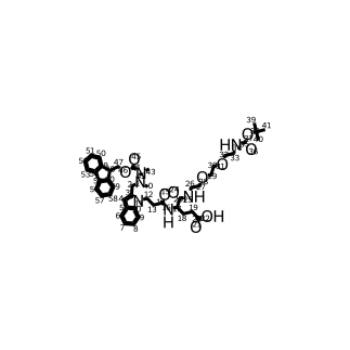 CN(Cc1cc2ccccc2n1CCC(=O)NC(CCC(=O)O)C(=O)NCCOCCOCCNC(=O)OC(C)(C)C)N(C)C(=O)OCC1c2ccccc2-c2ccccc21